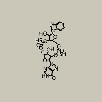 O=c1[nH]cnc2c1ncn2C1OC2COP(=O)(S)OC3C(COP(=O)(S)OC1C2O)OC(n1cnc2ccccc21)C3O